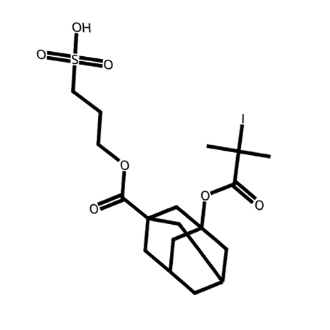 CC(C)(I)C(=O)OC12CC3CC(C1)CC(C(=O)OCCCS(=O)(=O)O)(C3)C2